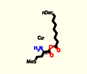 CCCCCCCCCCCCCCCCCC(=O)OC(=O)[C@@H](N)CCSC.[Cu]